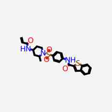 C=CC(=O)NC1CCN(S(=O)(=O)c2ccc(NC(=O)c3cc4ccccc4s3)cc2)C(C)C1